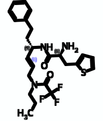 CCCN(C/C=C/[C@H](CCc1ccccc1)NC(=O)[C@@H](N)Cc1cccs1)C(=O)C(F)(F)F